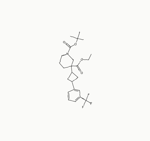 CCOC(=O)C1(C2CC(c3cccc(C(F)(F)F)c3)C2)CCCN(C(=O)OC(C)(C)C)C1